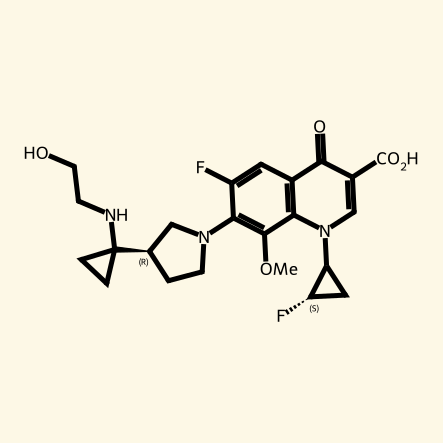 COc1c(N2CC[C@@H](C3(NCCO)CC3)C2)c(F)cc2c(=O)c(C(=O)O)cn(C3C[C@@H]3F)c12